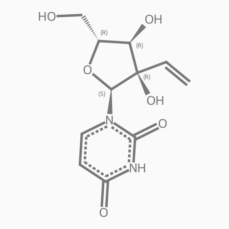 C=C[C@@]1(O)[C@H](O)[C@@H](CO)O[C@@H]1n1ccc(=O)[nH]c1=O